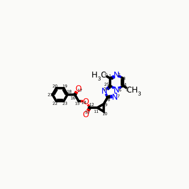 Cc1ncc(C)n2nc(C3CC3C(=O)OCC(=O)c3ccccc3)nc12